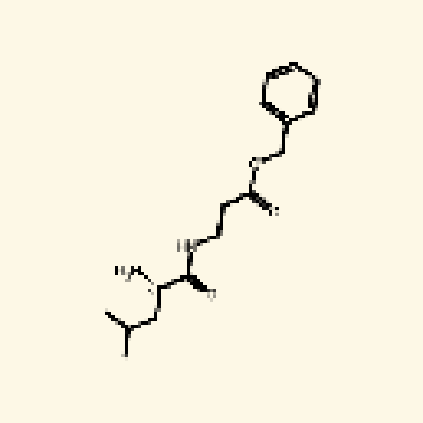 CC(C)C[C@H](N)C(=O)NCCC(=O)OCc1ccccc1